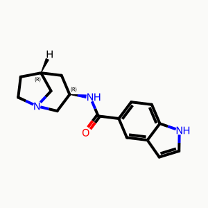 O=C(N[C@@H]1C[C@H]2CCN(C2)C1)c1ccc2[nH]ccc2c1